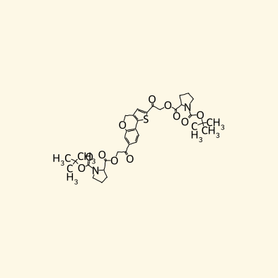 CC(C)(C)OC(=O)N1CCCC1C(=O)OCC(=O)c1ccc2c(c1)OCc1cc(C(=O)COC(=O)C3CCCN3C(=O)OC(C)(C)C)sc1-2